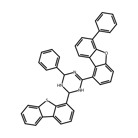 c1ccc(-c2cccc3c2oc2cccc(C4=NC(c5ccccc5)NC(c5cccc6c5sc5ccccc56)N4)c23)cc1